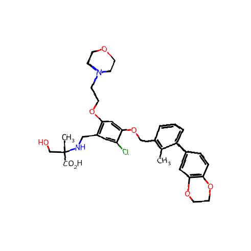 Cc1c(COc2cc(OCCN3CCOCC3)c(CNC(C)(CO)C(=O)O)cc2Cl)cccc1-c1ccc2c(c1)OCCO2